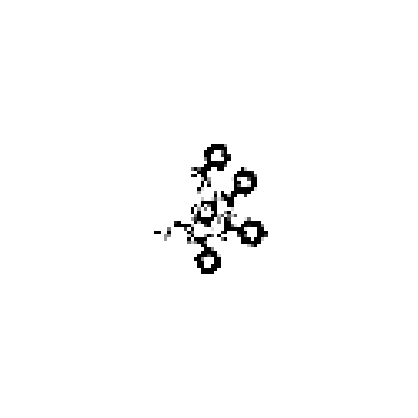 CCS[C@@H]1O[C@H](COC(=O)c2ccccc2)[C@H](OC(=O)c2ccccc2)[C@H](OC(=O)c2ccccc2)[C@H]1OC(=O)c1ccccc1